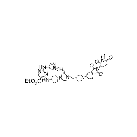 CCOC(=O)c1cnc(Nc2cnn(C)c2)nc1NC1CCC(N2CCN(CCC3CCN(c4ccc5c(c4)C(=O)N(C4CCC(=O)NC4=O)C5=O)CC3)CC2)CC1